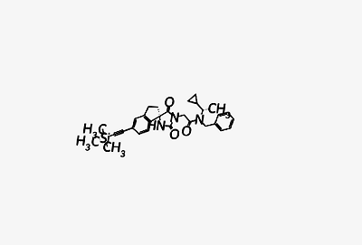 C[C@@H](C1CC1)N(Cc1ccccc1)C(=O)CN1C(=O)N[C@]2(CCc3cc(C#C[Si](C)(C)C)ccc32)C1=O